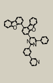 c1ccc(-c2cc(-c3ccc(-c4cccc5c4oc4ccccc45)c4c3oc3ccccc34)nc(-c3cccc(-c4cccnc4)c3)n2)cc1